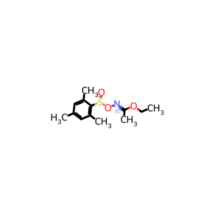 CCO/C(C)=N/OS(=O)c1c(C)cc(C)cc1C